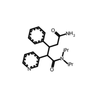 CC(C)N(C(=O)C(c1cccnc1)C(CC(N)=O)c1ccccc1)C(C)C